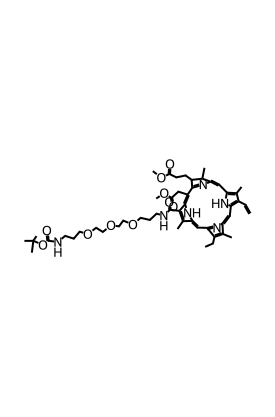 C=Cc1c(C)c2cc3nc(c(CC(=O)OC)c4[nH]c(cc5nc(cc1[nH]2)C(C)=C5CC)c(C)c4C(=O)NCCCOCCOCCOCCCNC(=O)OC(C)(C)C)C(CCC(=O)OC)C3C